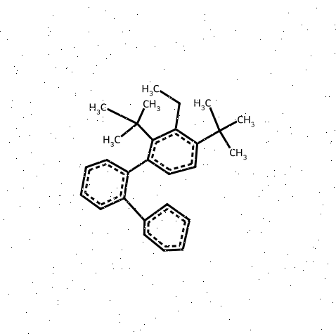 CCc1c(C(C)(C)C)ccc(-c2ccccc2-c2ccccc2)c1C(C)(C)C